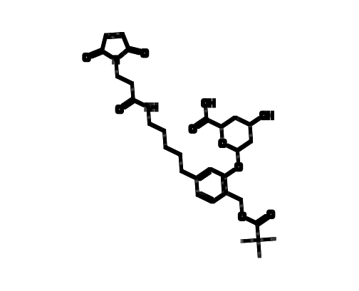 CC(C)(C)C(=O)OCc1ccc(CCCCCNC(=O)CCN2C(=O)C=CC2=O)cc1OC1CC(O)CC(C(=O)O)O1